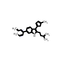 C=C/C=C(\C=C/C)c1ccc2c(C3=CC=C(C)C3)c(CCC(=C)C)[nH]c2c1